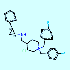 Fc1ccc(C[N+]2(Cc3ccc(F)cc3)CCC(CN[C@@H]3C[C@H]3c3ccccc3)CC2)cc1.[Cl-]